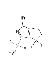 CC(C)n1nc(C(C)(F)F)c2c1CCC2(F)F